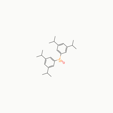 CC(C)c1cc(C(C)C)cc([PH](=O)c2cc(C(C)C)cc(C(C)C)c2)c1